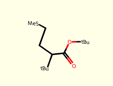 CSCCC(C(=O)OC(C)(C)C)C(C)(C)C